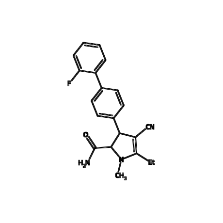 CCC1=C(C#N)C(c2ccc(-c3ccccc3F)cc2)C(C(N)=O)N1C